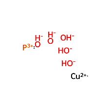 [Cu+2].[OH-].[OH-].[OH-].[OH-].[OH-].[P+3]